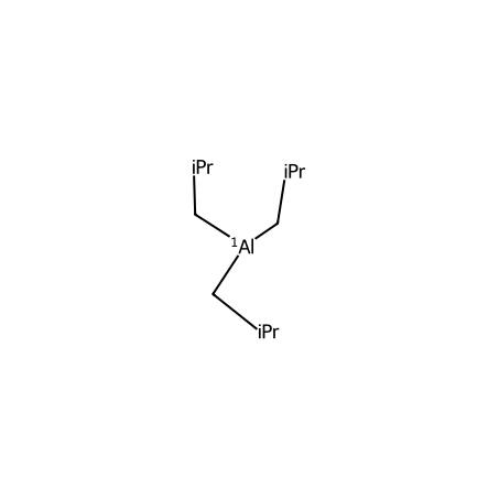 CC(C)[CH2][1Al]([CH2]C(C)C)[CH2]C(C)C